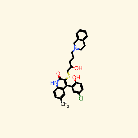 O=c1[nH]c2ccc(C(F)(F)F)cc2c(-c2cc(Cl)ccc2O)c1SCC(O)CCCN1CCc2ccccc2C1